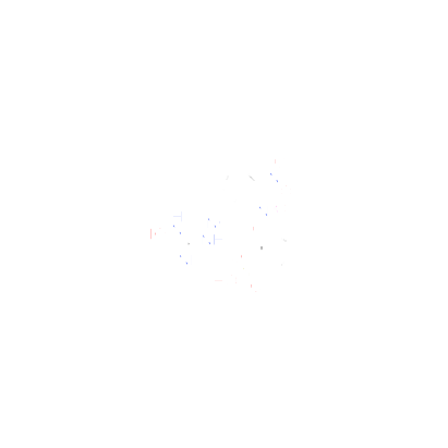 Cc1ccc(S(=O)(=O)O)cc1.N=C(NO)NN=Cc1cccc([N+](=O)[O-])c1[N+](=O)[O-]